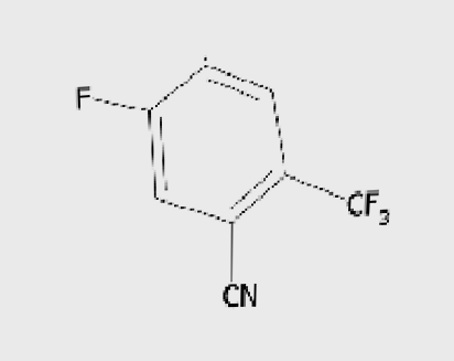 N#Cc1cc(F)[c]cc1C(F)(F)F